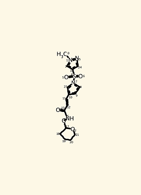 Cn1cc(S(=O)(=O)n2ccc(C=CC(=O)NOC3CCCCO3)c2)cn1